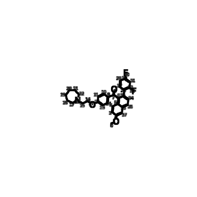 COc1ccc2c(C(=O)c3ccc(OCCN4CCCCCC4)cc3)c(-c3ccc(F)cc3F)ccc2c1